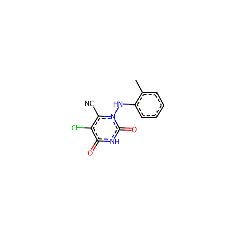 Cc1ccccc1Nn1c(C#N)c(Cl)c(=O)[nH]c1=O